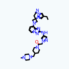 CCc1cnn(C2(CC#N)CN(c3cccn4nc(Nc5cnn(CC(=O)N6CCC(CN7CCN(C)CC7)CC6)c5)nc34)C2)c1